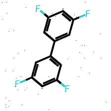 Fc1[c]c(F)cc(-c2cc(F)[c]c(F)c2)c1